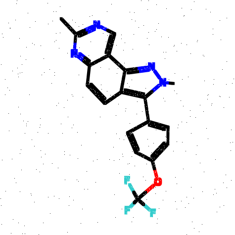 Cc1ncc2c(ccc3c(-c4ccc(OC(F)(F)F)cc4)n(C)nc32)n1